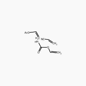 C=CC#N.C=COC(=O)CCC.C=COC(C)=O